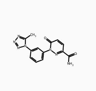 Cc1nnnn1-c1cccc(-n2nc(C(N)=O)ccc2=O)c1